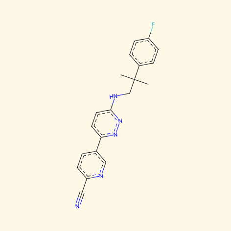 CC(C)(CNc1ccc(-c2ccc(C#N)nc2)nn1)c1ccc(F)cc1